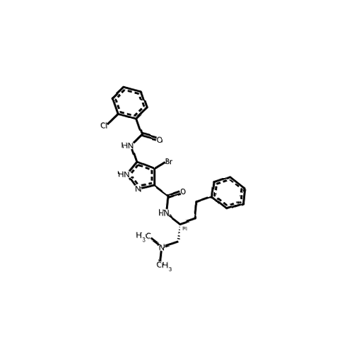 CN(C)C[C@@H](CCc1ccccc1)NC(=O)c1n[nH]c(NC(=O)c2ccccc2Cl)c1Br